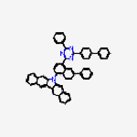 c1ccc(-c2ccc(-c3nc(-c4ccccc4)nc(-c4ccc(-n5c6cc7ccccc7cc6c6cc7ccccc7cc65)c5ccc(-c6ccccc6)cc45)n3)cc2)cc1